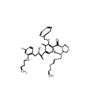 C=CCCCCCN1C2COCCN2C(=O)c2c(OCc3ccccc3)c(=O)c(C(=O)NCc3ccc(F)cc3OCCC=C)cn21